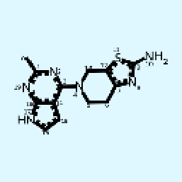 Cc1nc(N2CCc3nc(N)sc3C2)c2cc[nH]c2n1